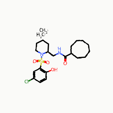 O=C(NCC1CCCCN1S(=O)(=O)c1cc(Cl)ccc1O)[C]1CCCCCCC1.[CH2].[CH2]